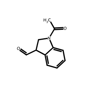 CC(=O)N1CC(C=O)c2ccccc21